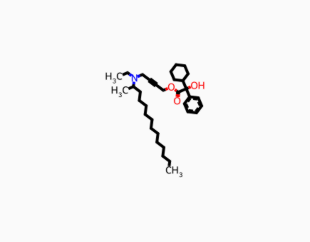 CCCCCCCCCCCCC(C)N(CC)CC#CCOC(=O)C(O)(c1ccccc1)C1CCCCC1